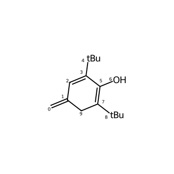 C=C1C=C(C(C)(C)C)C(O)=C(C(C)(C)C)C1